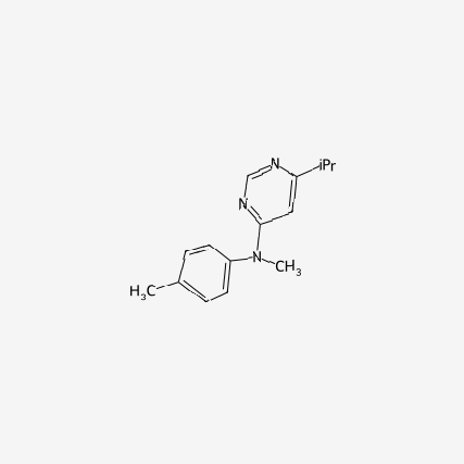 Cc1ccc(N(C)c2cc(C(C)C)ncn2)cc1